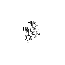 Fc1ccc(-c2n[nH]c([C@H]3CCCNC3)c2-c2ccncc2)cc1